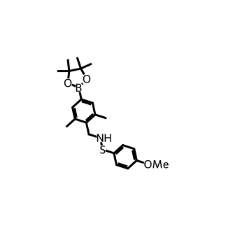 COc1ccc(SNCc2c(C)cc(B3OC(C)(C)C(C)(C)O3)cc2C)cc1